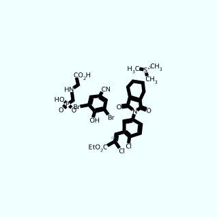 CCOC(=O)/C(Cl)=C/c1cc(N2C(=O)C3=C(CCCC3)C2=O)ccc1Cl.C[S+](C)C.N#Cc1cc(Br)c(O)c(Br)c1.O=C(O)CNCP(=O)([O-])O